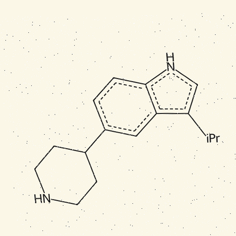 CC(C)c1c[nH]c2ccc(C3CCNCC3)cc12